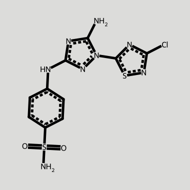 Nc1nc(Nc2ccc(S(N)(=O)=O)cc2)nn1-c1nc(Cl)ns1